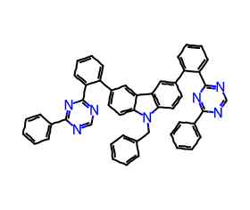 c1ccc(Cn2c3ccc(-c4ccccc4-c4ncnc(-c5ccccc5)n4)cc3c3cc(-c4ccccc4-c4ncnc(-c5ccccc5)n4)ccc32)cc1